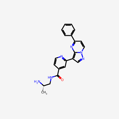 C[C@H](N)CNC(=O)c1ccnc(-c2cnn3ccc(-c4ccccc4)nc23)c1